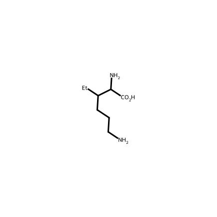 CCC(CCCN)C(N)C(=O)O